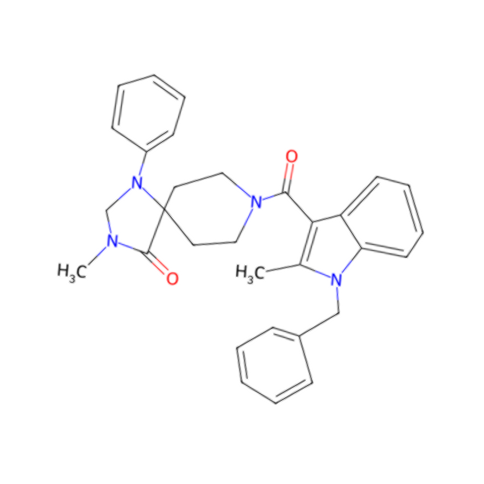 Cc1c(C(=O)N2CCC3(CC2)C(=O)N(C)CN3c2ccccc2)c2ccccc2n1Cc1ccccc1